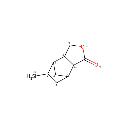 O=C1OCC2C3CC(CC3[SiH3])C12